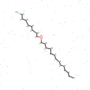 CCCCCCCCCCCCCCOCCCCCCCCF